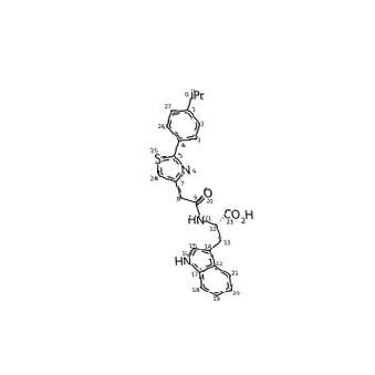 CC(C)c1ccc(-c2nc(CC(=O)N[C@@H](Cc3c[nH]c4ccccc34)C(=O)O)cs2)cc1